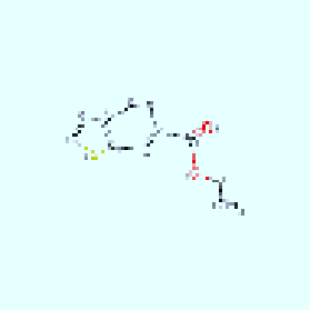 CCOC(=O)C1=Cc2sccc2CC1